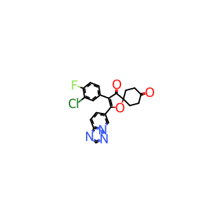 O=C1CCC2(CC1)OC(c1ccc3ncnn3c1)=C(c1ccc(F)c(Cl)c1)C2=O